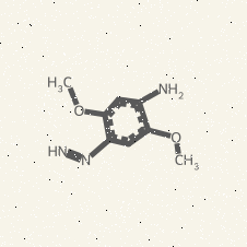 COc1cc(N=N)c(OC)cc1N